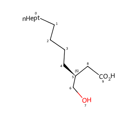 CCCCCCCCCCC[C@H](CO)CC(=O)O